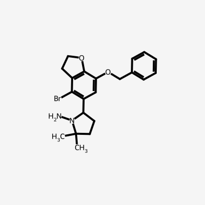 CC1(C)CCC(c2cc(OCc3ccccc3)c3c(c2Br)CCO3)N1N